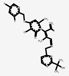 C=C(F)/C(=C(C)\C=N/Cc1ccnc(C(C)(C)O)n1)n1c(C)cc(OCc2ncc(F)cc2F)c(Cl)c1=O